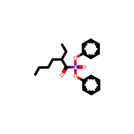 CCCCC(CC)C(=O)P(=O)(Oc1ccccc1)Oc1ccccc1